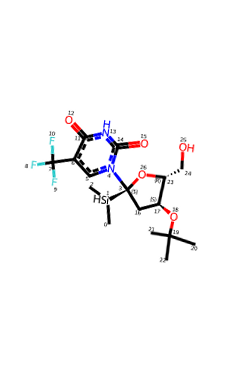 C[SiH](C)[C@]1(n2cc(C(F)(F)F)c(=O)[nH]c2=O)C[C@H](OC(C)(C)C)[C@@H](CO)O1